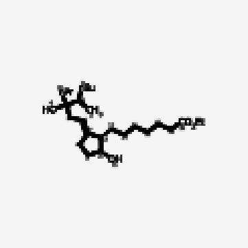 CCCCC(C)C(O)(CC=C1CC[C@H](O)[C@@H]1CCCCCCC(=O)OCC)CCC